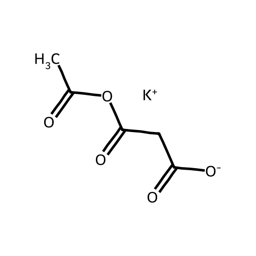 CC(=O)OC(=O)CC(=O)[O-].[K+]